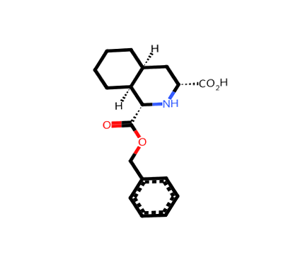 O=C(OCc1ccccc1)[C@H]1N[C@@H](C(=O)O)C[C@@H]2CCCC[C@@H]21